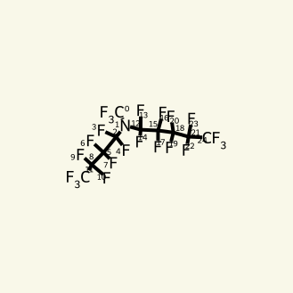 FC(F)(F)N(C(F)(F)C(F)(F)C(F)(F)C(F)(F)F)C(F)(F)C(F)(F)C(F)(F)C(F)(F)C(F)(F)F